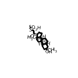 C[C@]1(O)CC[C@H]2[C@H](CC[C@@H]3[C@@H]2CC[C@]2(C)[C@@H](C(=O)CSS(=O)(=O)O)CC[C@@H]32)C1